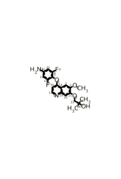 COc1cc2c(Oc3c(F)cc(N)cc3F)ccnc2cc1OCC(C)(C)O